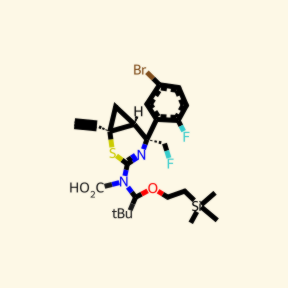 C#C[C@]12C[C@H]1[C@@](CF)(c1cc(Br)ccc1F)N=C(N(C(=O)O)C(OCC[Si](C)(C)C)C(C)(C)C)S2